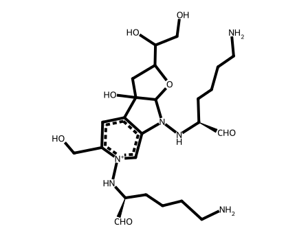 NCCCC[C@@H](C=O)NN1c2c[n+](N[C@H](C=O)CCCCN)c(CO)cc2C2(O)CC(C(O)CO)OC12